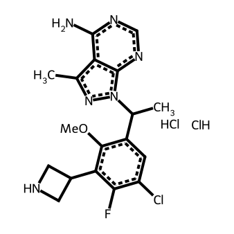 COc1c(C(C)n2nc(C)c3c(N)ncnc32)cc(Cl)c(F)c1C1CNC1.Cl.Cl